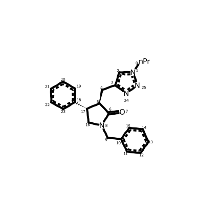 CCCn1cc(C[C@H]2C(=O)N(Cc3ccccc3)C[C@@H]2c2ccccc2)nn1